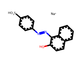 O=S(=O)(O)c1ccc(N=Nc2c(O)ccc3ccccc23)cc1.[Na+]